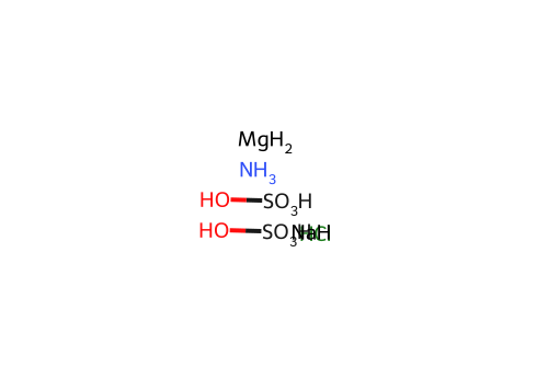 Cl.N.O=S(=O)(O)O.O=S(=O)(O)O.[MgH2].[NaH]